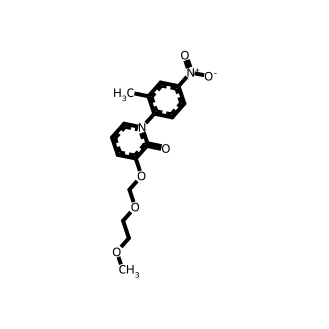 COCCOCOc1cccn(-c2ccc([N+](=O)[O-])cc2C)c1=O